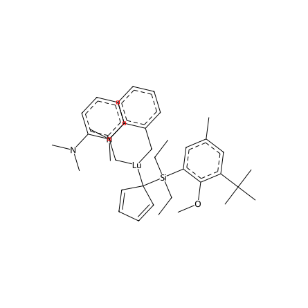 CC[Si](CC)(c1cc(C)cc(C(C)(C)C)c1OC)[C]1([Lu]([CH2]c2ccccc2N(C)C)[CH2]c2ccccc2N(C)C)C=CC=C1